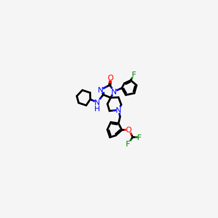 O=C1N=C(NC2CCCCC2)C2(CCN(Cc3ccccc3OC(F)F)CC2)N1c1cccc(F)c1